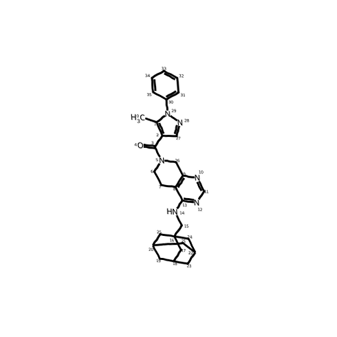 Cc1c(C(=O)N2CCc3c(ncnc3NCC34CC5CC(CC(C5)C3)C4)C2)cnn1-c1ccccc1